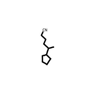 CC(CCCC#N)C1CCCC1